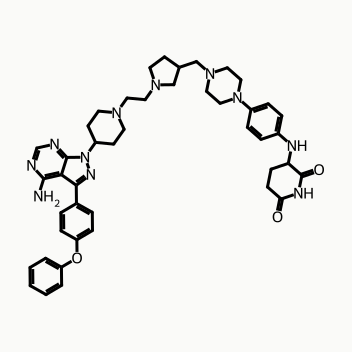 Nc1ncnc2c1c(-c1ccc(Oc3ccccc3)cc1)nn2C1CCN(CCN2CCC(CN3CCN(c4ccc(NC5CCC(=O)NC5=O)cc4)CC3)C2)CC1